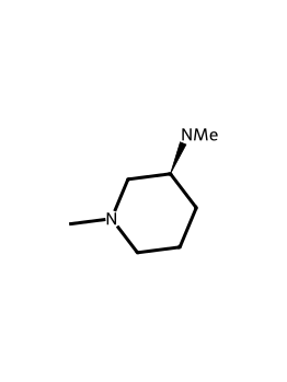 CN[C@H]1CCCN(C)C1